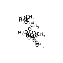 COc1ccc(Cn2c(=O)c3c(OC)cccc3c3c(-c4ccc(C(C)CNC(=O)OC(C)(C)C)cc4)c(OC)nc(C)c32)cc1